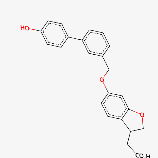 O=C(O)CC1COc2cc(OCc3cccc(-c4ccc(O)cc4)c3)ccc21